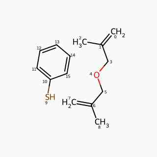 C=C(C)COCC(=C)C.Sc1ccccc1